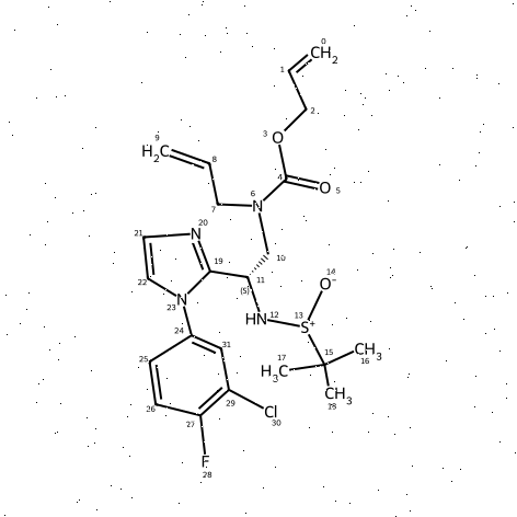 C=CCOC(=O)N(CC=C)C[C@H](N[S+]([O-])C(C)(C)C)c1nccn1-c1ccc(F)c(Cl)c1